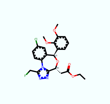 CCOC(=O)C[C@H]1O[C@H](c2cccc(OC)c2OC)c2cc(Cl)ccc2-n2c(CF)nnc21